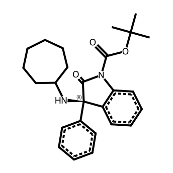 CC(C)(C)OC(=O)N1C(=O)[C@@](NC2CCCCCC2)(c2ccccc2)c2ccccc21